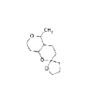 CC1OCCC2OC3(CCCO3)CCC12